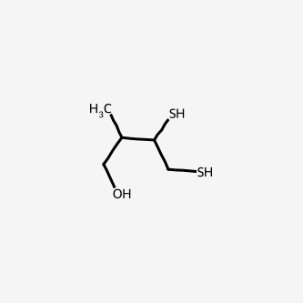 CC(CO)C(S)CS